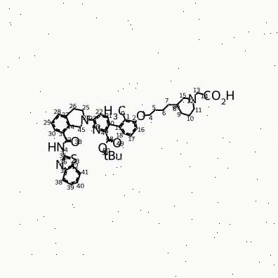 Cc1c(OCCCC[C@@H]2CCCN(CC(=O)O)C2)cccc1-c1ccc(N2CCc3cccc(C(=O)Nc4nc5ccccc5s4)c3C2)nc1C(=O)OC(C)(C)C